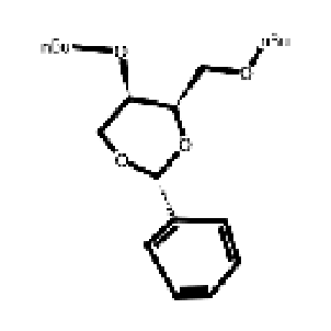 CCCCOC[C@H]1O[C@H](c2ccccc2)OC[C@H]1OCCCC